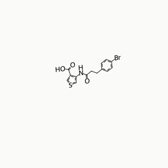 O=C(CCc1ccc(Br)cc1)Nc1cscc1C(=O)O